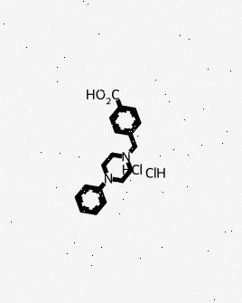 Cl.Cl.O=C(O)c1ccc(CN2CCN(c3ccccc3)CC2)cc1